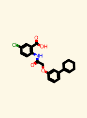 O=C(COc1cccc(C2=CCCCC2)c1)Nc1ccc(Cl)cc1C(=O)O